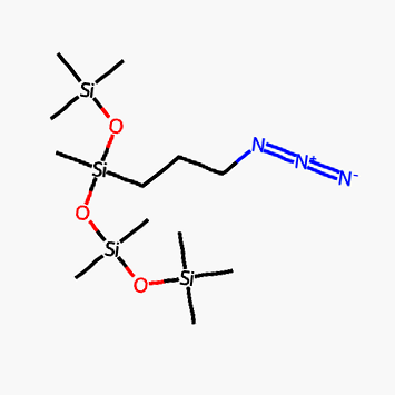 C[Si](C)(C)O[Si](C)(C)O[Si](C)(CCCN=[N+]=[N-])O[Si](C)(C)C